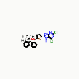 CC(C)(C)[Si](OC[C@H]1CC[C@@H](c2nc3nc(Cl)nc(Cl)c3[nH]2)S1)(c1ccccc1)c1ccccc1